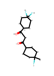 CC1(F)CCC(C(=O)CC(=O)C2CCC(F)(F)CC2)CC1